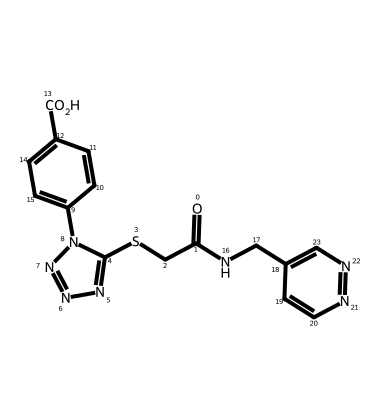 O=C(CSc1nnnn1-c1ccc(C(=O)O)cc1)NCc1ccnnc1